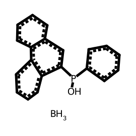 B.OP(c1ccccc1)c1cc2ccccc2c2ccccc12